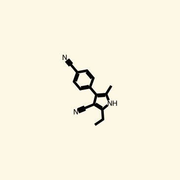 CCc1[nH]c(C)c(-c2ccc(C#N)cc2)c1C#N